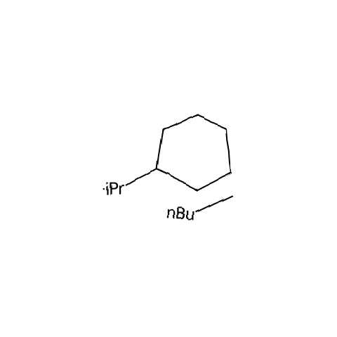 CCCCC.C[C](C)C1CCCCC1